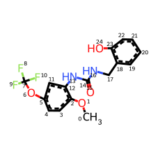 COc1ccc(OC(F)(F)F)cc1NC(=O)NCc1ccccc1O